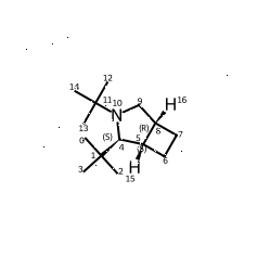 CC(C)(C)[C@@H]1[C@H]2CC[C@H]2CN1C(C)(C)C